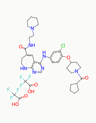 O=C(NCCN1CCCCC1)C1=Cc2c(ncnc2Nc2ccc(OC3CCN(C(=O)C4CCCC4)CC3)c(Cl)c2)NCC1.O=C(O)C(F)(F)F.O=C(O)C(F)(F)F